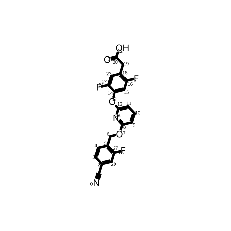 N#Cc1ccc(COc2cccc(Oc3cc(F)c(CC(=O)O)cc3F)n2)c(F)c1